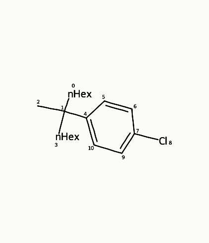 CCCCCCC(C)(CCCCCC)c1ccc(Cl)cc1